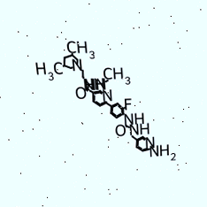 CCNc1nc(-c2ccc(NC(=O)NCc3ccc(N)nc3)c(F)c2)ccc1C(=O)NCCN1CC(C)CC(C)C1